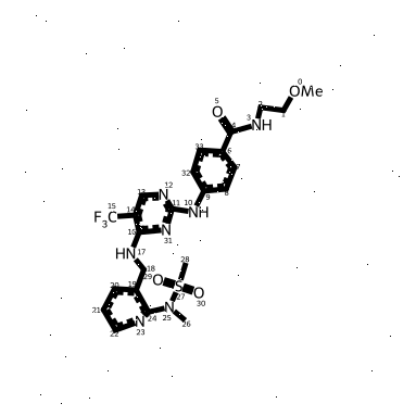 COCCNC(=O)c1ccc(Nc2ncc(C(F)(F)F)c(NCc3cccnc3N(C)S(C)(=O)=O)n2)cc1